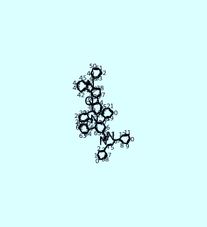 c1ccc(-c2cc(-c3ccccc3)nc(-c3cc(-c4ccccc4)c(-n4c5ccccc5c5c6oc7c(ccc8c7c7ccccc7n8-c7ccccc7)c6ccc54)c(-c4ccccc4)c3)n2)cc1